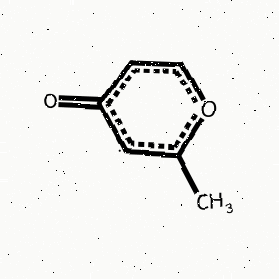 Cc1[c]c(=O)cco1